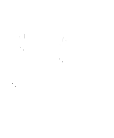 CNCC1CN(Sc2cccc(-c3ccc4c(c3)N=C(N)CC(C)=C4)c2)C1